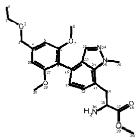 CCOCc1cc(OC)c(-c2ccc(CC(N)C(=O)OC)c3c2cnn3C)c(OC)c1